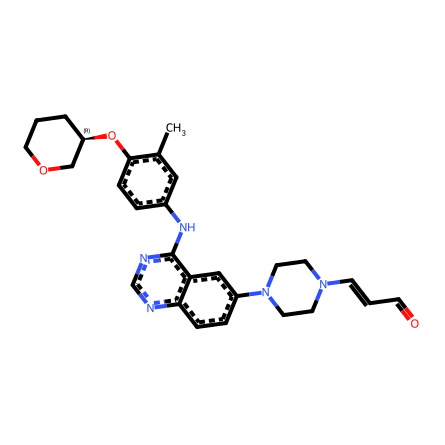 Cc1cc(Nc2ncnc3ccc(N4CCN(C=CC=O)CC4)cc23)ccc1O[C@@H]1CCCOC1